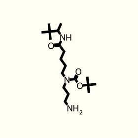 CC(NC(=O)CCCCN(CCCN)C(=O)OC(C)(C)C)C(C)(C)C